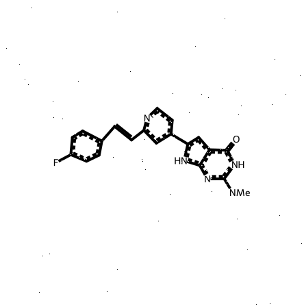 CNc1nc2[nH]c(-c3ccnc(/C=C/c4ccc(F)cc4)c3)cc2c(=O)[nH]1